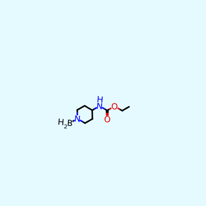 BN1CCC(NC(=O)OCC)CC1